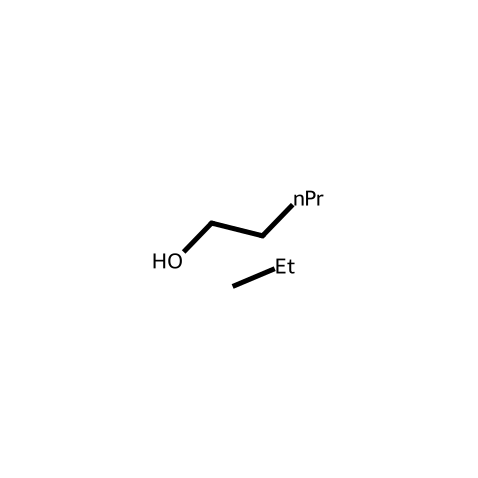 CCC.CCCCCO